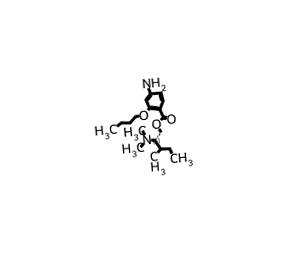 CCCCOc1cc(N)ccc1C(=O)OC[C@H](C(C)CC)N(C)C